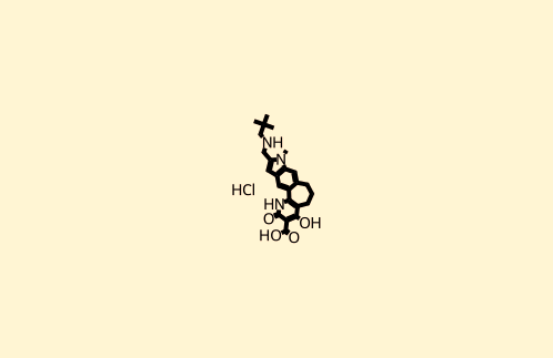 Cl.Cn1c(CNCC(C)(C)C)cc2cc3c(cc21)CCCc1c-3[nH]c(=O)c(C(=O)O)c1O